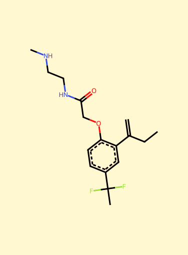 C=C(CC)c1cc(C(C)(F)F)ccc1OCC(=O)NCCNC